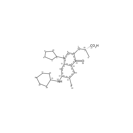 C[C@H](Oc1cn(C2CCCC2)c2cc(NC3CCCCC3)c(F)cc2c1=O)C(=O)O